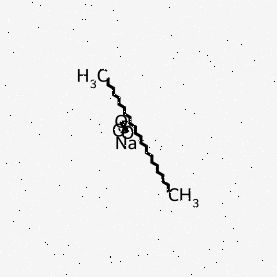 CCCCCCCCCCCCCCCC(CCCCCCCCCC)S(=O)(=O)[O-].[Na+]